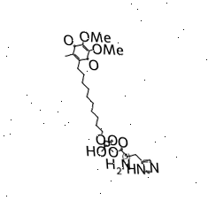 COC1=C(OC)C(=O)C(CCCCCCCCCCOP(=O)(O)OC(=O)[C@@H](N)Cc2cnc[nH]2)=C(C)C1=O